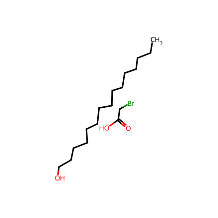 CCCCCCCCCCCCCCCO.O=C(O)CBr